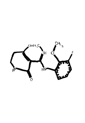 COc1c(F)cccc1NC(=[SH]C)C1=C(O)CCNC1=O